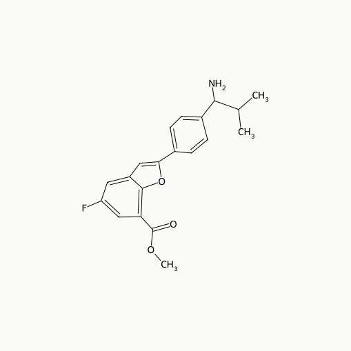 COC(=O)c1cc(F)cc2cc(-c3ccc(C(N)C(C)C)cc3)oc12